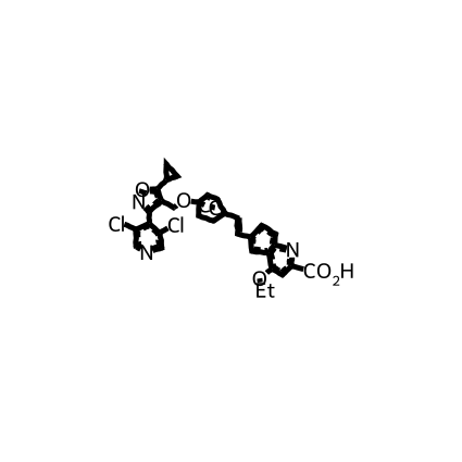 CCOc1cc(C(=O)O)nc2ccc(C=CC34CCC(OCc5c(-c6c(Cl)cncc6Cl)noc5C5CC5)(CC3)CC4)cc12